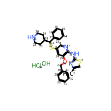 Cc1csc(Nc2ncc(SC(c3ccccc3)C3CCNCC3)cc2OCc2ccccc2)n1.Cl.Cl